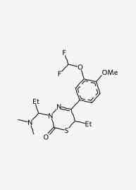 CCC1SC(=O)N(C(CC)N(C)C)N=C1c1ccc(OC)c(OC(F)F)c1